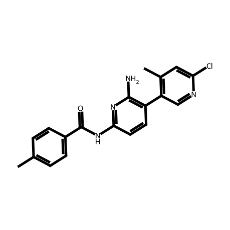 Cc1ccc(C(=O)Nc2ccc(-c3cnc(Cl)cc3C)c(N)n2)cc1